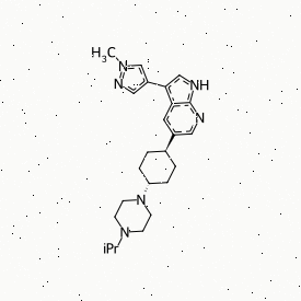 CC(C)N1CCN([C@H]2CC[C@H](c3cnc4[nH]cc(-c5cnn(C)c5)c4c3)CC2)CC1